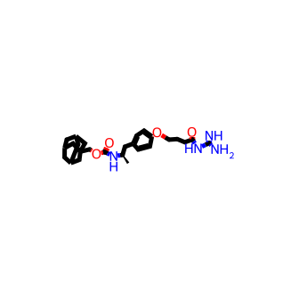 C[C@H](Cc1ccc(OCCCC(=O)NC(=N)N)cc1)NC(=O)OCC12CC3CC(CC(C3)C1)C2